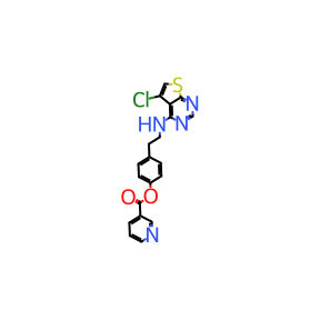 O=C(Oc1ccc(CCNc2ncnc3scc(Cl)c23)cc1)c1cccnc1